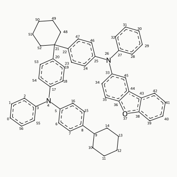 c1ccc(N(c2ccc(C3CCCCC3)cc2)c2ccc(C3(c4ccc(N(c5ccccc5)c5ccc6oc7ccccc7c6c5)cc4)CCCCC3)cc2)cc1